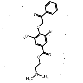 CN(C)CCOC(=O)c1cc(Br)c(OCC(=O)c2ccccc2)c(Br)c1